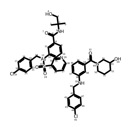 CC(C)(CO)NC(=O)c1cccc([As](Cc2ccc(Cl)cc2)S(=O)(=O)c2cccnc2)c1.O=C(c1cccc(NCc2ccc(Cl)cc2)c1)N1CCCC(O)C1